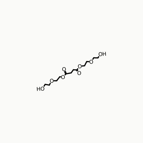 O=C(CCC(=O)OCCOCCO)OCCOCCO